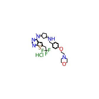 CN(c1ncnc2sc(CC(F)(F)F)cc12)[C@@H]1CC[C@H](NCc2ccc(OCCN3CCOCC3)cc2)C1.Cl